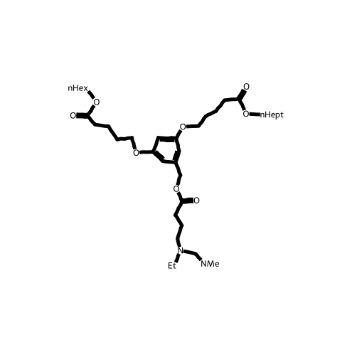 CCCCCCCOC(=O)CCCCOc1cc(COC(=O)CCCN(CC)CNC)cc(OCCCCC(=O)OCCCCCC)c1